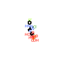 O=P(O)(O)CS(=O)(=O)C[C@H]1O[C@@H](n2ccc3c(NC4CCC(F)(F)CC4)nc(Cl)nc32)[C@H](O)[C@@H]1O